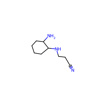 N#CCCNC1CCCCC1N